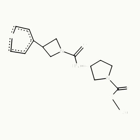 CC(C)(C)OC(=O)N1CC[C@@H](NC(=O)N2CC(c3ccccc3)C2)C1